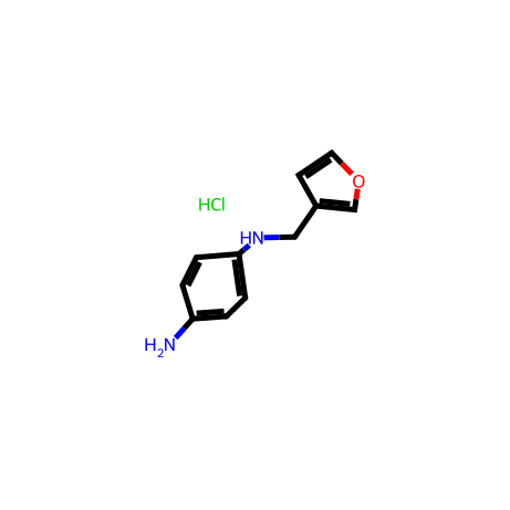 Cl.Nc1ccc(NCc2ccoc2)cc1